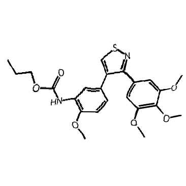 CCCOC(=O)Nc1cc(-c2csnc2-c2cc(OC)c(OC)c(OC)c2)ccc1OC